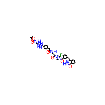 CC(C)(C)OC(=O)NCc1nnc(-c2ccc(CC(=O)NCCC(=O)N3CCN(C(=O)c4cc(Cc5n[nH]c(=O)c6ccccc56)ccc4F)CC3)cc2)nn1